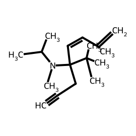 C#CCC(/C=C\C(=C)C)(N(C)C(C)C)C(C)(C)C